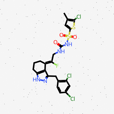 Cc1cc(S(=O)(=O)NC(=O)NC/C(F)=C2\CCCc3[nH]nc(Cc4ccc(Cl)cc4Cl)c32)sc1Cl